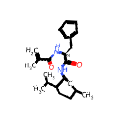 C=C(C)C(=O)N[C@@H](Cc1ccccc1)C(=O)NC1CC(C)CCC1C(C)C